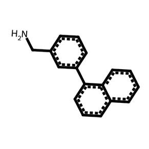 NCc1cccc(-c2cccc3ccccc23)c1